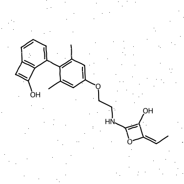 C/C=C1/OC(NCCOc2cc(C)c(-c3cccc4c3C(O)=C4)c(C)c2)=C1O